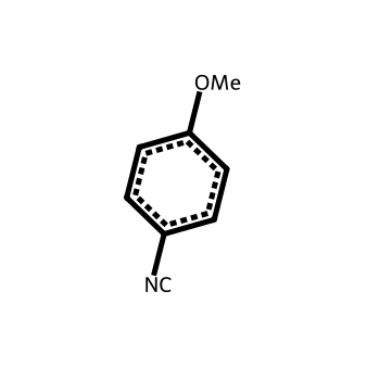 [C-]#[N+]c1ccc(OC)cc1